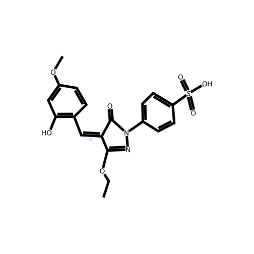 CCOC1=NN(c2ccc(S(=O)(=O)O)cc2)C(=O)/C1=C\c1ccc(OC)cc1O